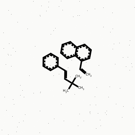 C=Cc1cccc2ccccc12.CC(C)(C)C=Cc1ccccc1